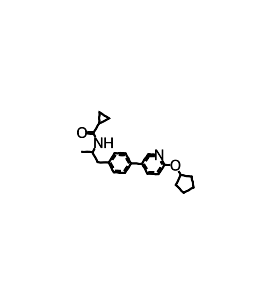 CC(Cc1ccc(-c2ccc(OC3CCCC3)nc2)cc1)NC(=O)C1CC1